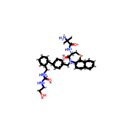 CC(C)(N)C(=O)N[C@@H]1CSc2c(ccc3ccccc23)N(Cc2ccc(-c3ccccc3CNC(=O)NCCO)cc2)C1=O